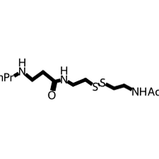 CCCNCCC(=O)NCCSSCCNC(C)=O